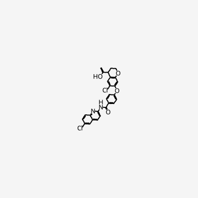 C=C(O)C1CCOc2cc(Oc3ccc(C(=O)Nc4ccc5cc(Cl)ccc5n4)cc3)c(Cl)cc21